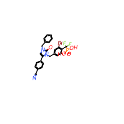 N#Cc1ccc(-c2cn(Cc3ccccc3)c(=O)n2Cc2ccc(C(F)(F)P(=O)(O)O)c(Br)c2)cc1